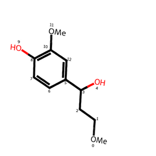 COCCC(O)c1ccc(O)c(OC)c1